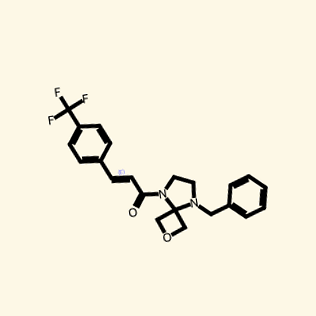 O=C(/C=C/c1ccc(C(F)(F)F)cc1)N1CCN(Cc2ccccc2)C12COC2